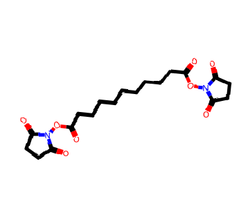 O=C(CCCCCCCCCC(=O)ON1C(=O)CCC1=O)ON1C(=O)CCC1=O